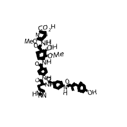 COc1nc(C(=O)O)ccc1NC(=O)c1ccc(NC(=O)c2ccc(NC(=O)C(Cc3cnn[nH]3)NC(=O)c3ccc(NC(=O)/C(C)=C/c4ccc(O)cc4)cc3)cc2)c(OC)c1O